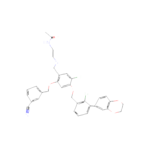 CC(=O)NCCNCc1cc(Cl)c(OCc2cccc(-c3ccc4c(c3)OCCO4)c2Br)cc1OCc1cccc(C#N)c1